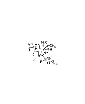 CC(C)[C@H](NC(=O)OC(C)(C)C)C(=O)N1C[C@H]2[C@@H]([C@H]1C(=O)NC(CC1CC1)C(O)C(N)=O)C2(C)C